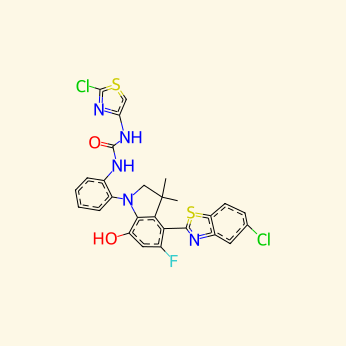 CC1(C)CN(c2ccccc2NC(=O)Nc2csc(Cl)n2)c2c(O)cc(F)c(-c3nc4cc(Cl)ccc4s3)c21